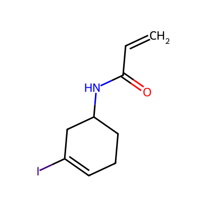 C=CC(=O)NC1CCC=C(I)C1